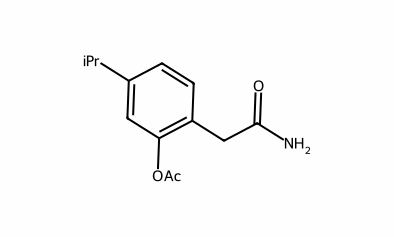 CC(=O)Oc1cc(C(C)C)ccc1CC(N)=O